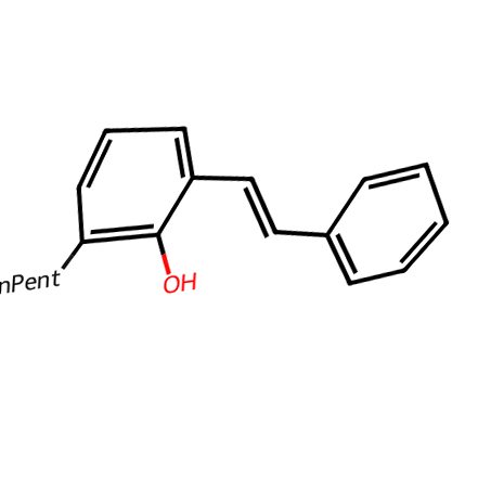 CCCCCc1cccc(C=Cc2ccccc2)c1O